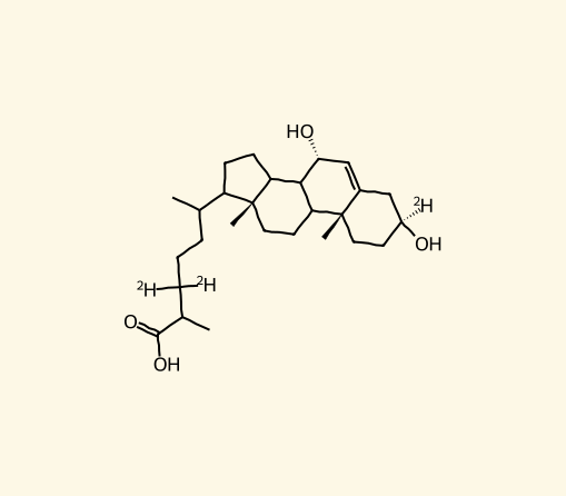 [2H]C([2H])(CCC(C)C1CCC2C3C(CC[C@]12C)[C@@]1(C)CC[C@]([2H])(O)CC1=C[C@H]3O)C(C)C(=O)O